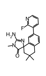 CN1C(=O)C2(CC(C)(C)Cc3ccc(-c4cccnc4F)cc32)N=C1N